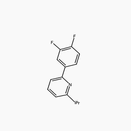 CC(C)c1cccc(-c2ccc(F)c(F)c2)n1